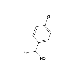 CCC(N=O)c1ccc(Cl)cc1